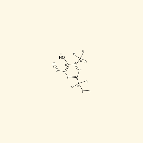 CCC(C)(C)c1cc(C=O)c(O)c(C(C)(C)C)c1